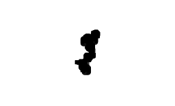 CCC/C(=N\OC(C)=O)c1ccc(Sc2ccc(C(=O)c3oc4ccccc4c3CC)cc2)cc1